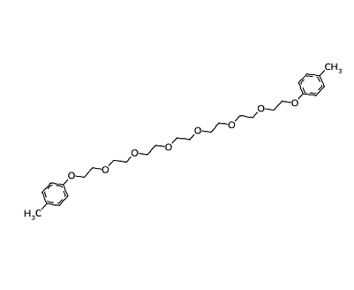 Cc1ccc(OCCOCCOCCOCCOCCOCCOCCOc2ccc(C)cc2)cc1